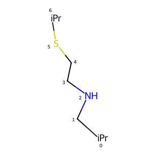 CC(C)CNCCSC(C)C